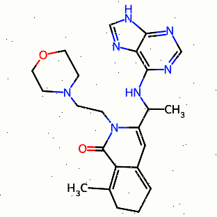 CC1=c2c(cc(C(C)Nc3ncnc4[nH]cnc34)n(CCN3CCOCC3)c2=O)=CCC1